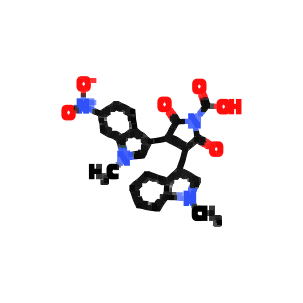 Cn1cc(C2=C(c3cn(C)c4cc([N+](=O)[O-])ccc34)C(=O)N(C(=O)O)C2=O)c2ccccc21